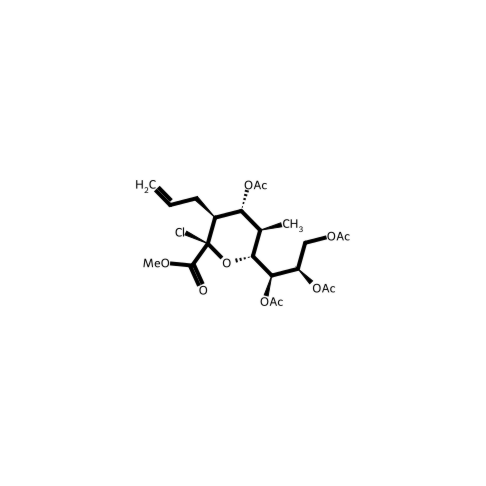 C=CC[C@H]1[C@H](OC(C)=O)[C@@H](C)[C@H]([C@H](OC(C)=O)[C@@H](COC(C)=O)OC(C)=O)O[C@]1(Cl)C(=O)OC